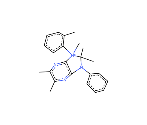 Cc1ccccc1[N+]1(C)c2nc(C)c(C)nc2N(c2ccccc2)C1(C)C